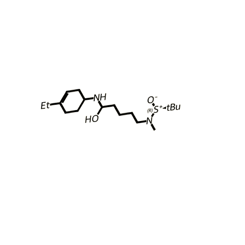 CCC1=CCC(NC(O)CCCCN(C)[S@@+]([O-])C(C)(C)C)CC1